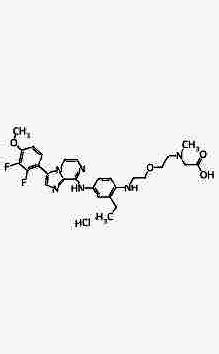 CCc1cc(Nc2nccn3c(-c4ccc(OC)c(F)c4F)cnc23)ccc1NCCOCCN(C)CC(=O)O.Cl